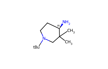 CC1(C)CN(C(C)(C)C)CC[C@H]1N